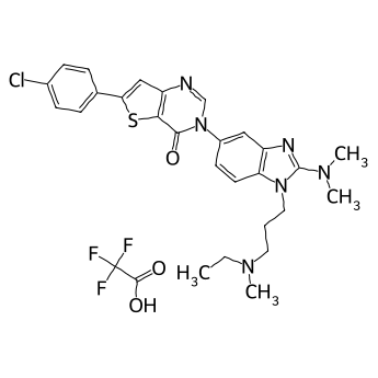 CCN(C)CCCn1c(N(C)C)nc2cc(-n3cnc4cc(-c5ccc(Cl)cc5)sc4c3=O)ccc21.O=C(O)C(F)(F)F